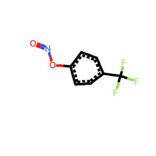 O=NOc1ccc(C(F)(F)F)cc1